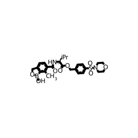 Cc1c(C(=O)N[C@H](C(=O)OCc2ccc(S(=O)(=O)N3CCOCC3)cc2)C(C)C)ccc2c1B(O)OC2